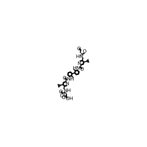 Cc1c(NC(=O)c2cc(C3CC3)c(CN[C@H](C=O)CC=O)cn2)cccc1-c1cccc(NC(=O)c2cc(C3CC3)c(CN[C@@H](CC(=O)O)C(=O)O)cn2)c1C